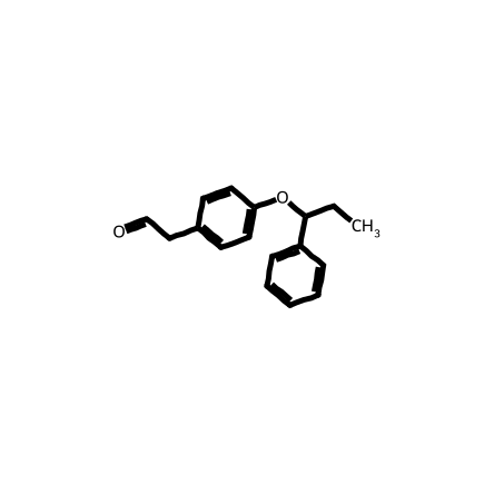 CCC(Oc1ccc(CC=O)cc1)c1ccccc1